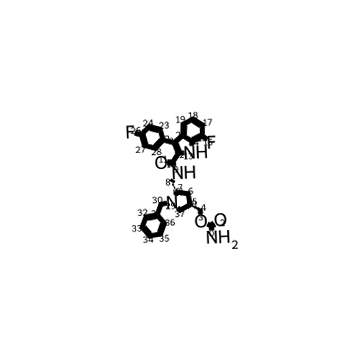 NC(=O)OC[C@@H]1C[C@@H](CNC(=O)c2[nH]c3c(F)cccc3c2-c2ccc(F)cc2)N(Cc2ccccc2)C1